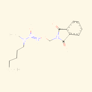 CN(CCCCC(=O)O)/[N+]([O-])=N/OCN1C(=O)c2ccccc2C1=O